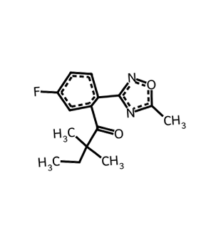 CCC(C)(C)C(=O)c1cc(F)ccc1-c1noc(C)n1